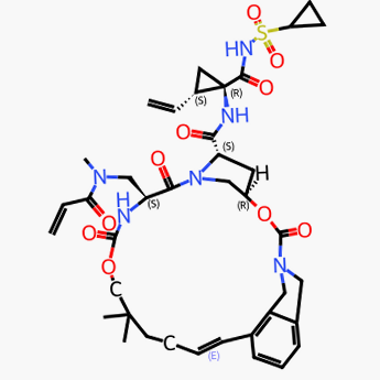 C=CC(=O)N(C)C[C@@H]1NC(=O)OCC(C)(C)CC/C=C/c2cccc3c2CN(C3)C(=O)O[C@@H]2C[C@@H](C(=O)N[C@]3(C(=O)NS(=O)(=O)C4CC4)C[C@H]3C=C)N(C2)C1=O